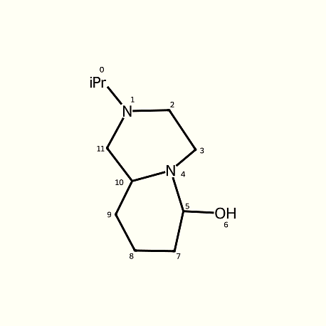 CC(C)N1CCN2C(O)CCCC2C1